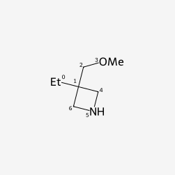 CCC1(COC)CNC1